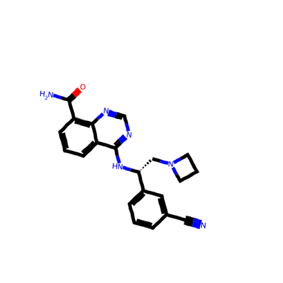 N#Cc1cccc([C@@H](CN2CCC2)Nc2ncnc3c(C(N)=O)cccc23)c1